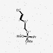 CCC=COCO[Si](CCC)(OC)OC